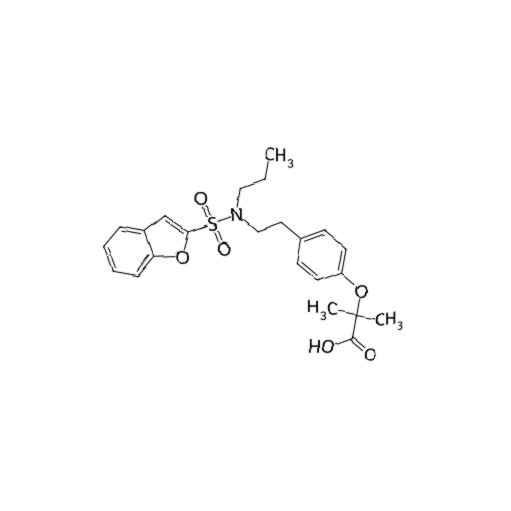 CCCN(CCc1ccc(OC(C)(C)C(=O)O)cc1)S(=O)(=O)c1cc2ccccc2o1